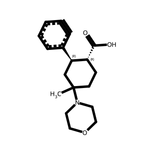 CC1(N2CCOCC2)CC[C@@H](C(=O)O)[C@H](c2c#cccc2)C1